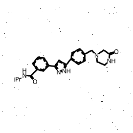 CC(C)NC(=O)c1cccc(-c2cc(-c3ccc(CN4CCNC(=O)C4)cc3)[nH]n2)c1